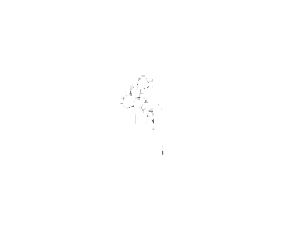 O=C(NCCCCCI)OCc1c2ccccc2cc2ccccc12